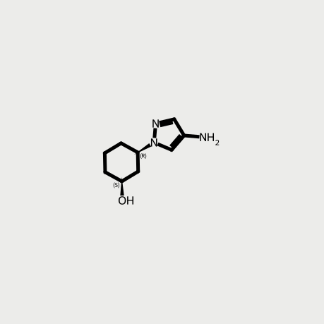 Nc1cnn([C@@H]2CCC[C@H](O)C2)c1